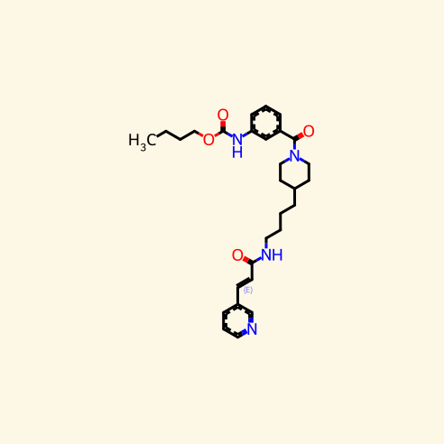 CCCCOC(=O)Nc1cccc(C(=O)N2CCC(CCCCNC(=O)/C=C/c3cccnc3)CC2)c1